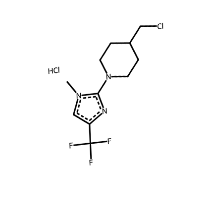 Cl.Cn1cc(C(F)(F)F)nc1N1CCC(CCl)CC1